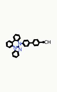 C#Cc1ccc(-c2ccc(N3c4ccccc4-c4ccccc4-n4c3nc3ccccc34)cc2)cc1